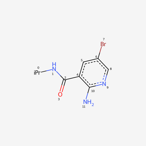 CC(C)NC(=O)c1cc(Br)cnc1N